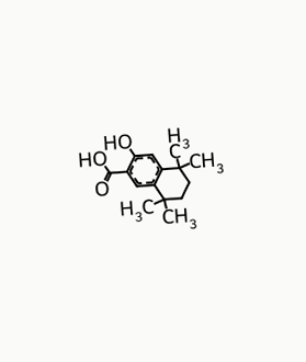 CC1(C)CCC(C)(C)c2cc(C(=O)O)c(O)cc21